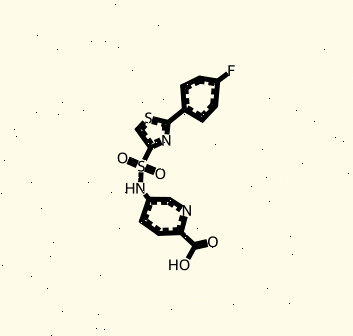 O=C(O)c1ccc(NS(=O)(=O)c2csc(-c3ccc(F)cc3)n2)cn1